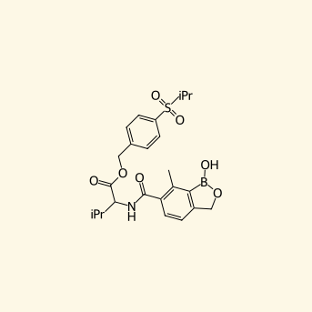 Cc1c(C(=O)NC(C(=O)OCc2ccc(S(=O)(=O)C(C)C)cc2)C(C)C)ccc2c1B(O)OC2